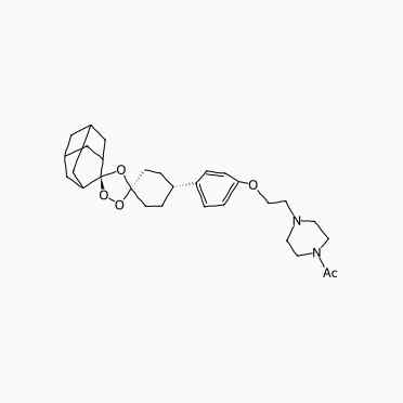 CC(=O)N1CCN(CCOc2ccc([C@H]3CC[C@]4(CC3)OO[C@]3(O4)C4CC5CC(C4)CC3C5)cc2)CC1